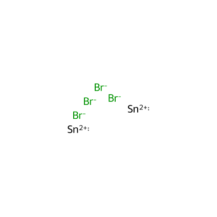 [Br-].[Br-].[Br-].[Br-].[Sn+2].[Sn+2]